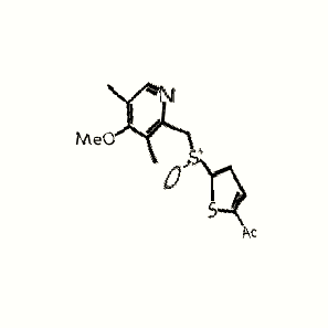 COc1c(C)cnc(C[S+]([O-])C2CC=C(C(C)=O)S2)c1C